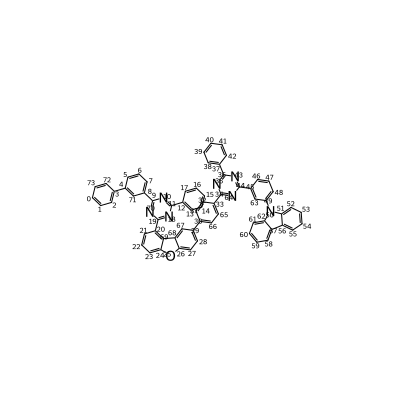 c1ccc(-c2cccc(-c3nc(-c4ccccc4)nc(-c4cccc5oc6ccc(-c7ccc(-c8nc(-c9ccccc9)nc(-c9cccc(-n%10c%11ccccc%11c%11ccccc%11%10)c9)n8)cc7)cc6c45)n3)c2)cc1